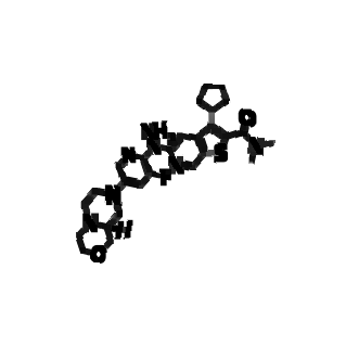 CN(C)C(=O)c1sc2cnc(N(N)c3ncc(N4CCN5CCOC[C@H]5C4)cc3F)cc2c1C1CCCC1